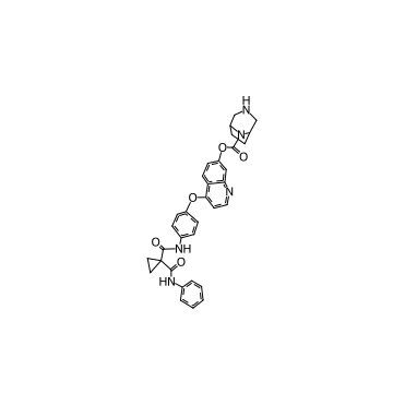 O=C(Oc1ccc2c(Oc3ccc(NC(=O)C4(C(=O)Nc5ccccc5)CC4)cc3)ccnc2c1)N1C2CCC1CNC2